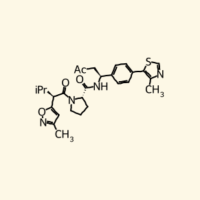 CC(=O)C[C@H](NC(=O)[C@@H]1CCCN1C(=O)[C@@H](c1cc(C)no1)C(C)C)c1ccc(-c2scnc2C)cc1